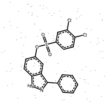 O=S(=O)(Oc1ccc2[nH]nc(-c3ccccc3)c2c1)c1ccc(Cl)c(Cl)c1